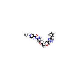 CN1CCC(C(=O)Nc2cc(Oc3ccc4c(c3)CC(c3nc(-c5ccccc5)c[nH]3)CO4)ccn2)CC1